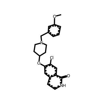 COc1cccc(CN2CCC(Oc3cc4cc[nH]c(=O)c4cc3Cl)CC2)c1